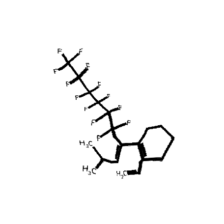 C=CC1=C(C(=CC(C)C)C(F)(F)C(F)(F)C(F)(F)C(F)(F)C(F)(F)C(F)(F)F)CCCC1